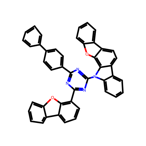 c1ccc(-c2ccc(-c3nc(-c4cccc5c4oc4ccccc45)nc(-n4c5ccccc5c5ccc6c7ccccc7oc6c54)n3)cc2)cc1